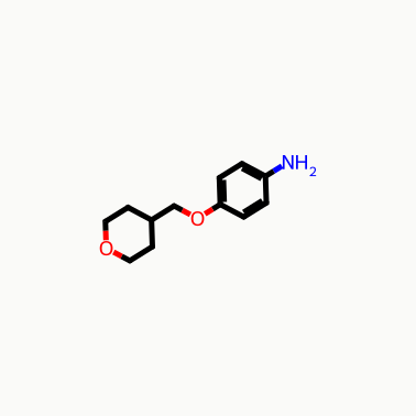 Nc1ccc(OCC2CCOCC2)cc1